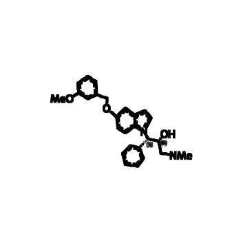 CNC[C@@H](O)[C@H](c1ccccc1)n1ccc2cc(OCc3cccc(OC)c3)ccc21